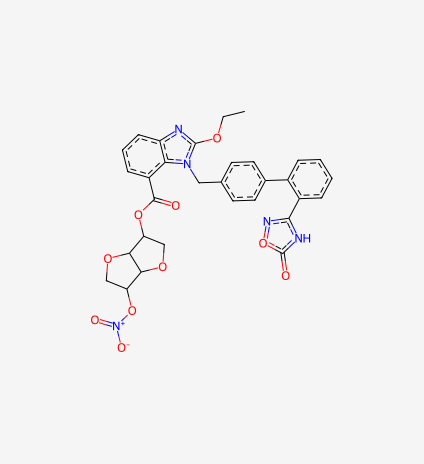 CCOc1nc2cccc(C(=O)OC3COC4C(O[N+](=O)[O-])COC34)c2n1Cc1ccc(-c2ccccc2-c2noc(=O)[nH]2)cc1